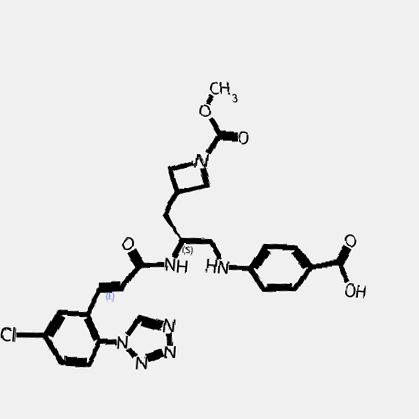 COC(=O)N1CC(C[C@@H](CNc2ccc(C(=O)O)cc2)NC(=O)/C=C/c2cc(Cl)ccc2-n2cnnn2)C1